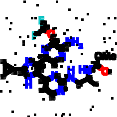 COC(=O)NC(C)CNc1nccc(-c2[nH]c(C3CC3)nc2-c2cnc(N)c(OC(F)F)n2)n1